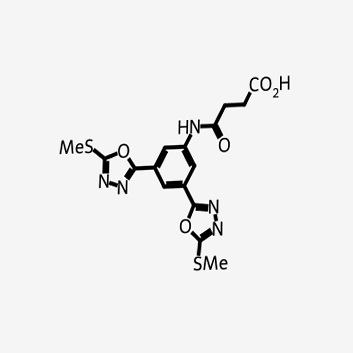 CSc1nnc(-c2cc(NC(=O)CCC(=O)O)cc(-c3nnc(SC)o3)c2)o1